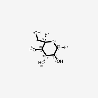 OC[C@@]1(F)O[C@H](F)[C@@H](O)[C@H](O)[C@H]1O